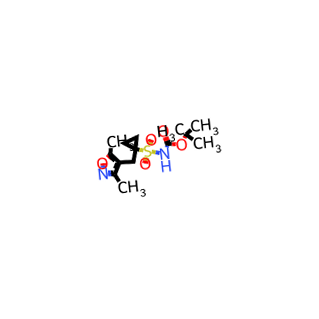 Cc1noc(C)c1CC1(S(=O)(=O)NC(=O)OC(C)(C)C)CC1